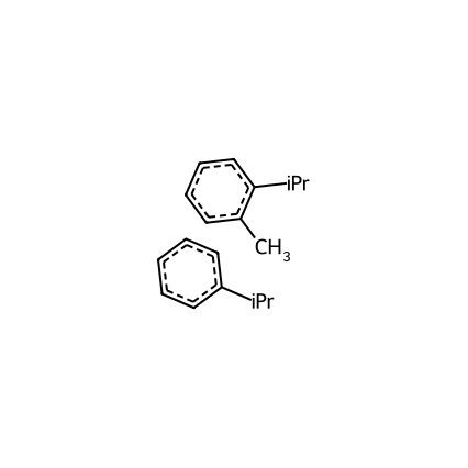 CC(C)c1ccccc1.Cc1ccccc1C(C)C